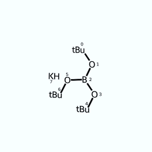 CC(C)(C)OB(OC(C)(C)C)OC(C)(C)C.[KH]